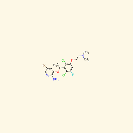 CC(Oc1cc(Br)cnc1N)c1c(Cl)c(F)cc(OCCN(C)C)c1Cl